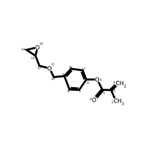 C=C(C)C(=O)Oc1ccc(COCC2CO2)cc1